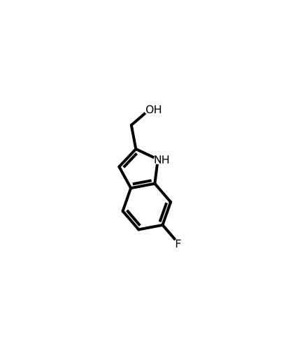 OCc1cc2ccc(F)cc2[nH]1